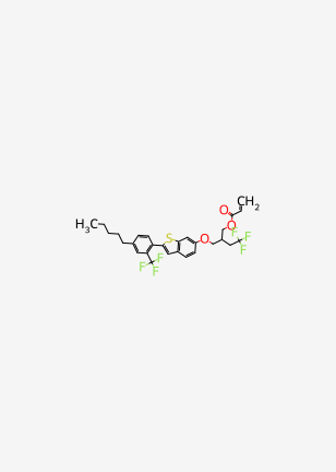 C=CC(=O)OCC(COc1ccc2cc(-c3ccc(CCCCC)cc3C(F)(F)F)sc2c1)CC(F)(F)F